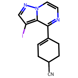 N#CC1CC=C(c2nccn3ncc(I)c23)CC1